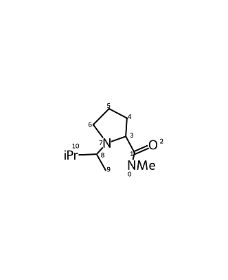 CNC(=O)C1CCCN1C(C)C(C)C